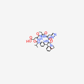 CC[C@H](NC(=O)[C@H](CCC(=O)O)NC(=O)CC(C)C)C(=O)N[C@@H](Cc1cnc[nH]1)C(=O)N[C@H](C(=O)N1CCCC1)C(c1ccccc1)c1ccccc1